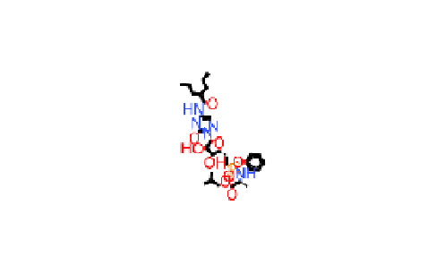 CCCC(CCC)C(=O)Nc1cnn([C@@H]2O[C@H](CCP(=O)(N[C@@H](C)C(=O)OCC(C)C)Oc3ccccc3)C(O)C2O)c(=O)n1